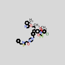 COC(=O)C1(N(C(=O)C(F)(F)F)c2cccc(Cl)c2)CCC2(CC1)c1cc(CN3CCN(C(=O)Cc4csc(Cc5ccccc5)n4)CC3)ccc1C[C@@H]2C[C@@H](C)COc1ccnc2c1[C@H](C)CCC2